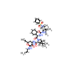 C#CCCC(NC(=O)[C@@H]1[C@@H]2[C@H](CN1C(=O)[C@@H](NC(=O)N[C@H](CN(C)S(=O)(=O)c1ccccc1)C(C)(C)C)C1CCCCC1)C2(C)C)C(=O)C(=O)NCC=C